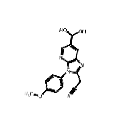 COc1ccc(-n2c(CC#N)nc3cc(C(O)O)cnc32)cc1